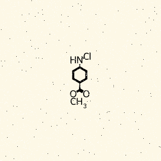 COC(=O)[C@H]1CC[C@H](NCl)CC1